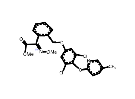 CO/N=C(/C(=O)OC)c1ccccc1COc1cc(Cl)c(Oc2ccc(C(F)(F)F)cn2)c(Cl)c1